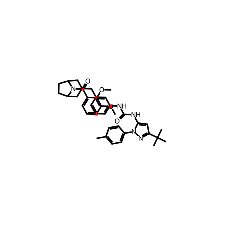 COc1cccc(C(=O)N2C3CCC2CC(Cc2cccc(NC(=O)Nc4cc(C(C)(C)C)nn4-c4ccc(C)cc4)c2)C3)c1OC